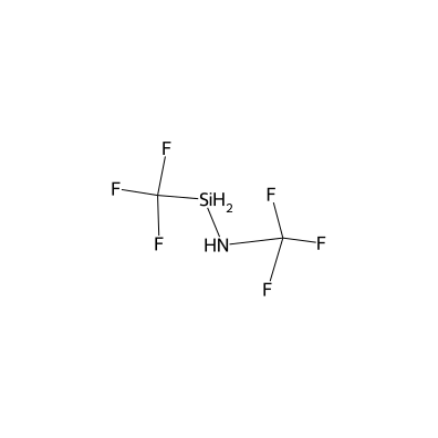 FC(F)(F)N[SiH2]C(F)(F)F